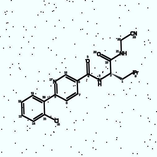 CC(C)C[C@H](NC(=O)c1ccc(-c2ccccc2Cl)nc1)C(=O)NCC#N